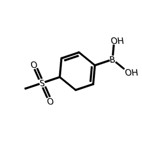 CS(=O)(=O)C1C=CC(B(O)O)=CC1